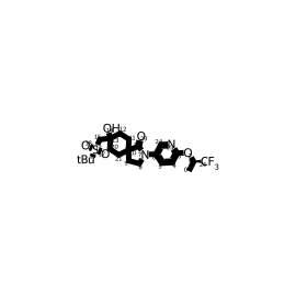 C[C@@H](Oc1ccc(N2CCC3(CCC(O)(CS(=O)(=O)C(C)(C)C)CC3)C2=O)cn1)C(F)(F)F